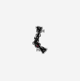 CCc1c2c(nc3ccc(OC(=O)CCC(=O)N[C@@H](CC(C)C)C(=O)OC(C)(C)C)cc13)-c1cc3c(c(=O)n1C2)COC(=O)[C@@]3(CC)OC(=O)CCC(=O)N[C@@H](CC(C)C)C(=O)OC(C)(C)C